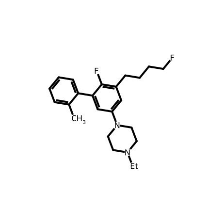 CCN1CCN(c2cc(CCCCF)c(F)c(-c3ccccc3C)c2)CC1